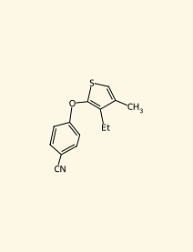 CCc1c(C)csc1Oc1ccc(C#N)cc1